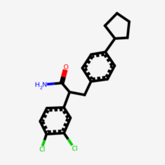 NC(=O)C(Cc1ccc(C2CCCC2)cc1)c1ccc(Cl)c(Cl)c1